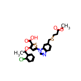 COC(=O)CCSCc1ccc2ncn(-c3cc(O[C@H](C)c4ccccc4Cl)c(C(=O)O)s3)c2c1